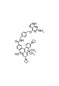 C[Si]1(C)C2=CC(N3CCC3)C=CC2=C(c2cc(C(=O)NCc3ccc(COc4nc(N)nc5[nH]cnc45)cc3)ccc2C(=O)O)c2ccc(N3CCC3)cc21